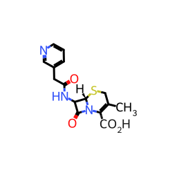 CC1=C(C(=O)O)N2C(=O)C(NC(=O)Cc3cccnc3)[C@@H]2SC1